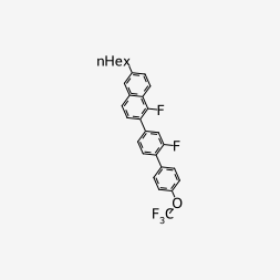 CCCCCCc1ccc2c(F)c(-c3ccc(-c4ccc(OC(F)(F)F)cc4)c(F)c3)ccc2c1